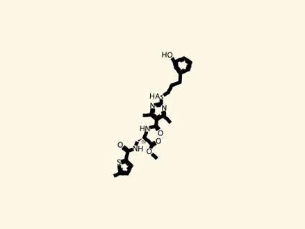 COC(=O)[C@H](CNC(=O)c1ccc(C)s1)NC(=O)c1c(C)nc([AsH]CCCc2cccc(O)c2)nc1C